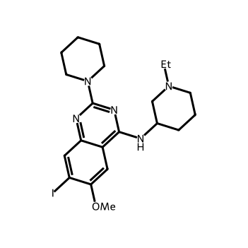 CCN1CCCC(Nc2nc(N3CCCCC3)nc3cc(I)c(OC)cc23)C1